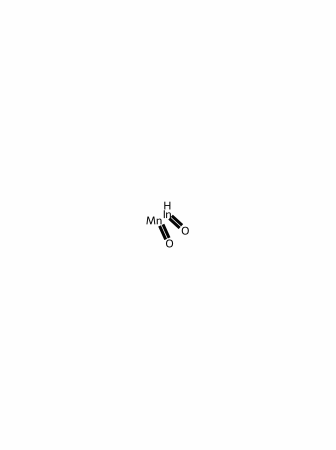 [O]=[InH].[O]=[Mn]